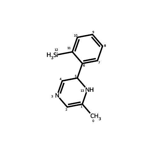 CC1=CN=CC(c2ccccc2[SiH3])N1